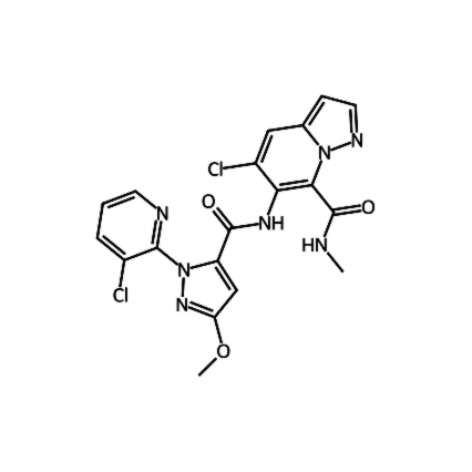 CNC(=O)c1c(NC(=O)c2cc(OC)nn2-c2ncccc2Cl)c(Cl)cc2ccnn12